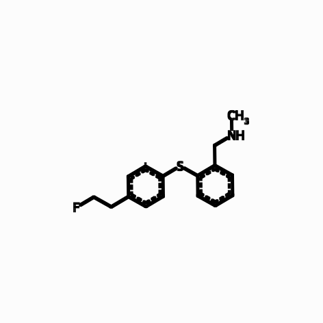 CNCc1ccccc1Sc1[c]cc(CCF)cc1